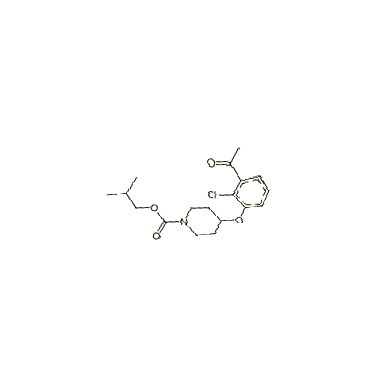 CC(=O)c1cccc(OC2CCN(C(=O)OCC(C)C)CC2)c1Cl